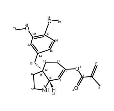 C=C(C)C(=O)OC1=C[C@@H]2NCC[C@@]2(Cc2ccc(OC)c(OC)c2)CC1